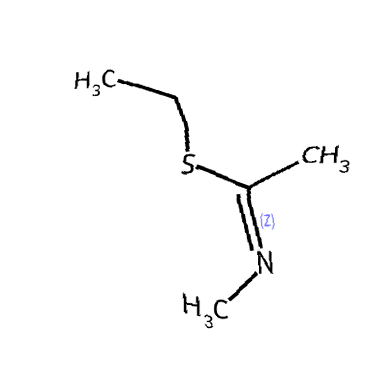 CCS/C(C)=N\C